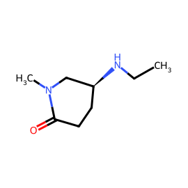 CCN[C@H]1CCC(=O)N(C)C1